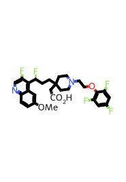 COc1ccc2ncc(F)c([C@@H](F)CCC3(CC(=O)O)CCN(CCOc4c(F)cc(F)cc4F)CC3)c2c1